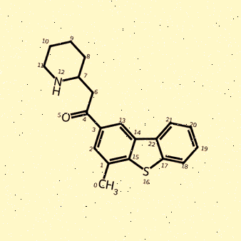 Cc1cc(C(=O)CC2CCCCN2)cc2c1sc1ccccc12